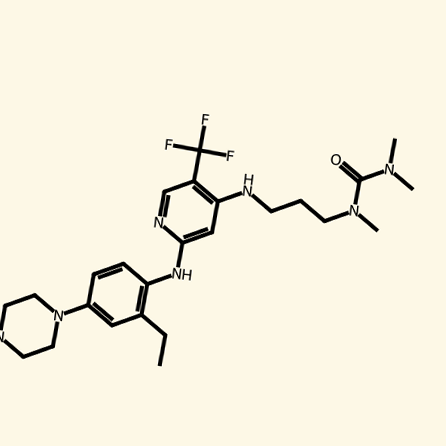 CCc1cc(N2CCN(C)CC2)ccc1Nc1cc(NCCCN(C)C(=O)N(C)C)c(C(F)(F)F)cn1